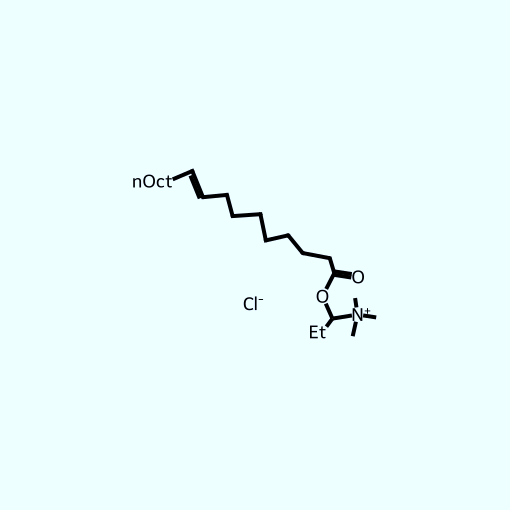 CCCCCCCCC=CCCCCCCCC(=O)OC(CC)[N+](C)(C)C.[Cl-]